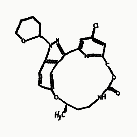 C[C@@H]1CCNC(=O)OCc2cc(Cl)cc(n2)-c2nn(C3CCCCO3)c3ccc(cc23)O1